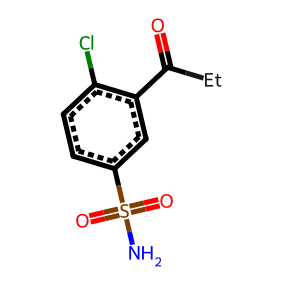 CCC(=O)c1cc(S(N)(=O)=O)ccc1Cl